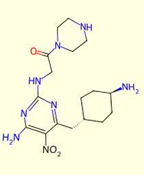 Nc1nc(NCC(=O)N2CCNCC2)nc(C[C@H]2CC[C@H](N)CC2)c1[N+](=O)[O-]